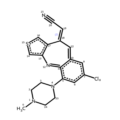 CN1CCN(c2cc(Cl)cc3c2=Nc2cscc2/C(=C\C#N)C=3)CC1